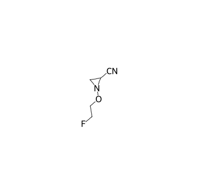 N#CC1CN1OCCF